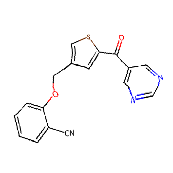 N#Cc1ccccc1OCc1csc(C(=O)c2cncnc2)c1